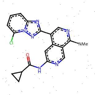 CNc1ncc(-c2nc3cccc(Cl)n3n2)c2cc(NC(=O)C3CC3)ncc12